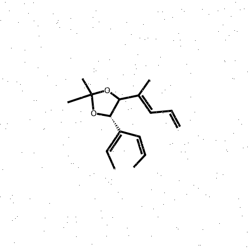 C=C/C=C(\C)C1OC(C)(C)O[C@H]1C(/C=C\C)=C/C